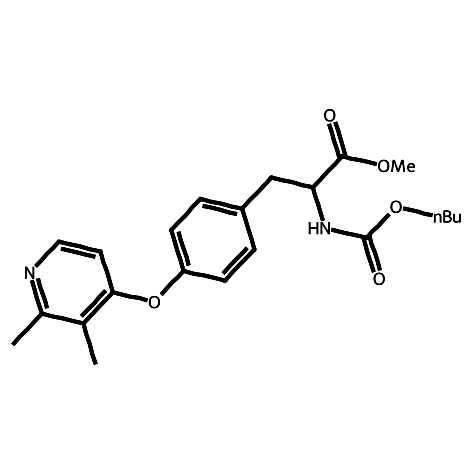 CCCCOC(=O)NC(Cc1ccc(Oc2ccnc(C)c2C)cc1)C(=O)OC